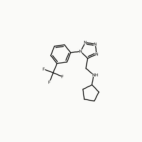 FC(F)(F)c1cccc(-n2nnnc2CNC2CCCC2)c1